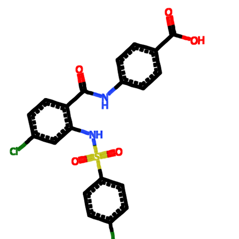 O=C(O)c1ccc(NC(=O)c2ccc(Cl)cc2NS(=O)(=O)c2ccc(Cl)cc2)cc1